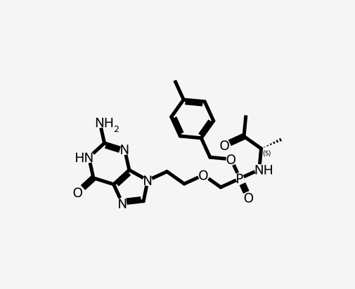 CC(=O)[C@H](C)NP(=O)(COCCn1cnc2c(=O)[nH]c(N)nc21)OCc1ccc(C)cc1